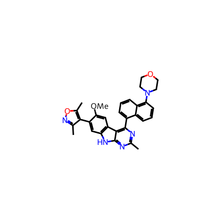 COc1cc2c(cc1-c1c(C)noc1C)[nH]c1nc(C)nc(-c3cccc4c(N5CCOCC5)cccc34)c12